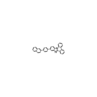 c1ccc2cc(-c3ccc(-c4ccc5c(c4)nc4c6ccccc6c6ccccc6n54)cc3)ccc2c1